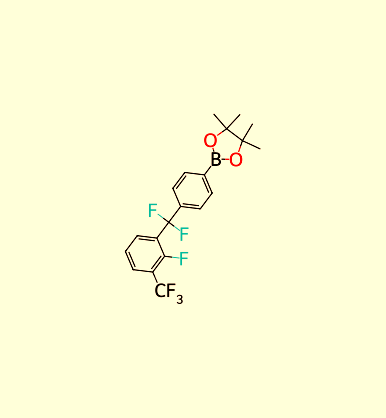 CC1(C)OB(c2ccc(C(F)(F)c3cccc(C(F)(F)F)c3F)cc2)OC1(C)C